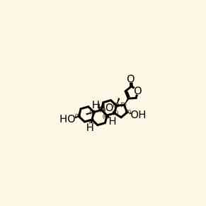 C[C@]12CC[C@H](O)C[C@H]1CC[C@@H]1[C@@H]2CC[C@]2(C)[C@@H](C3=CC(=O)OC3)[C@H](O)C[C@]12O